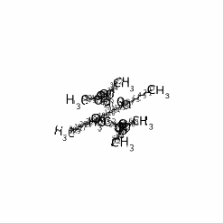 CCCCCCCCCOC(=O)CCCCCCCCC(=O)OCCCCCCCCC.CCCCOC(=O)c1ccccc1C(=O)OCCCC.CCCCOP(=O)(OCCCC)OCCCC